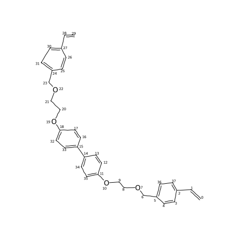 C=Cc1ccc(COCCOc2ccc(-c3ccc(OCCOCc4ccc(C=C)cc4)cc3)cc2)cc1